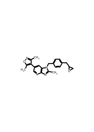 Cc1noc(C)c1-c1cnc2nc(C)n(Cc3ccc(CC4CO4)cc3)c2c1